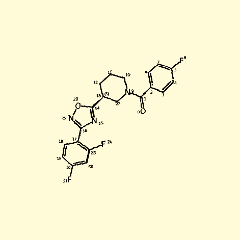 O=C(c1ccc(F)cc1)N1CCC[C@H](c2nc(-c3ccc(F)cc3F)no2)C1